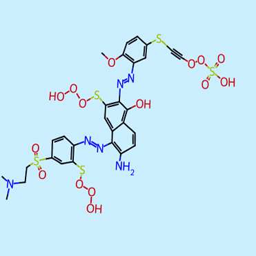 COc1ccc(SC#COOS(=O)(=O)O)cc1N=Nc1c(SOOO)cc2c(N=Nc3ccc(S(=O)(=O)CCN(C)C)cc3SOOO)c(N)ccc2c1O